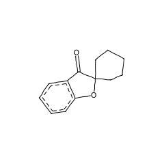 O=C1c2ccccc2OC12CCCCC2